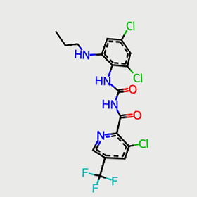 CCCNc1cc(Cl)cc(Cl)c1NC(=O)NC(=O)c1ncc(C(F)(F)F)cc1Cl